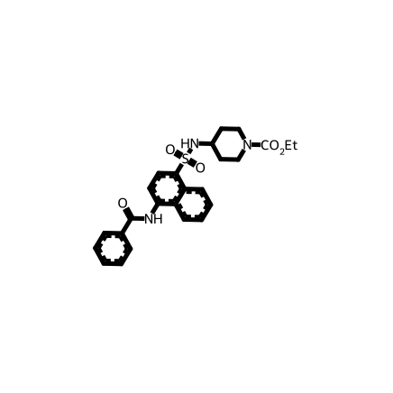 CCOC(=O)N1CCC(NS(=O)(=O)c2ccc(NC(=O)c3ccccc3)c3ccccc23)CC1